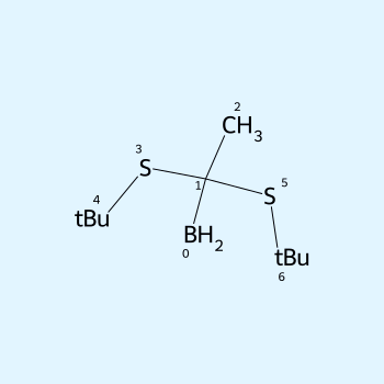 BC(C)(SC(C)(C)C)SC(C)(C)C